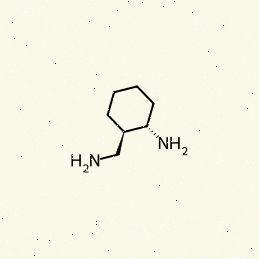 NC[C@H]1CCCC[C@@H]1N